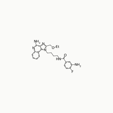 CCOCc1nc2c(N)nc3ccccc3c2n1CCCCNC(=O)c1ccc(F)c(N)c1